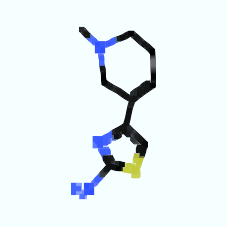 CN1CCC=C(c2csc(N)n2)C1